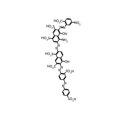 Nc1c(N=Nc2ccc3c(O)c(N=Nc4ccc(N=Nc5ccc(S(=O)(=O)O)cc5)cc4S(=O)(=O)O)c(S(=O)(=O)O)cc3c2S(=O)(=O)O)cc(S(=O)(=O)O)c2cc(S(=O)(=O)O)c(N=Nc3cc([N+](=O)[O-])ccc3C(=O)O)c(O)c12